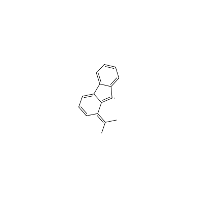 CC(C)=c1cccc2c1=[C]c1ccccc1-2